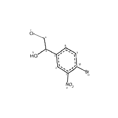 O=[N+]([O-])c1cc(C(O)CCl)ccc1Br